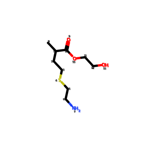 CC(CCSCCN)C(=O)OCCO